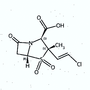 C[C@]1(C=CCl)[C@H](C(=O)O)N2C(=O)C[C@H]2S1(=O)=O